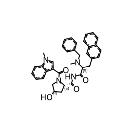 CN(Cc1ccccc1)[C@@H](Cc1ccc2ccccc2c1)C(=O)NC(=O)[C@@H]1C[C@@H](O)CN1C(=O)c1cn(C)c2ccccc12